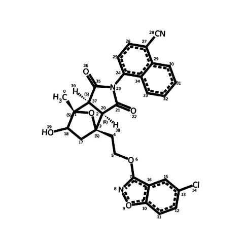 C[C@@]12O[C@@](CCOc3noc4ccc(Cl)cc34)(CC1O)[C@@H]1C(=O)N(c3ccc(C#N)c4ccccc34)C(=O)[C@@H]12